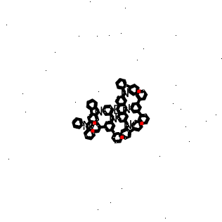 c1ccc(-c2cc(-c3ccccc3)cc(N3c4cc(-n5c6ccccc6c6ccccc65)ccc4B4c5ccc(-n6c7ccccc7c7cc(N(c8ccccc8)c8ccccc8)ccc76)cc5N(c5cc(-c6ccccc6)cc(-c6ccccc6)c5)c5cc(-n6c7ccccc7c7ccccc76)cc3c54)c2)cc1